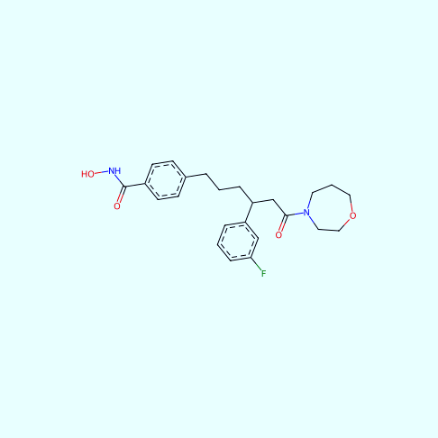 O=C(NO)c1ccc(CCCC(CC(=O)N2CCCOCC2)c2cccc(F)c2)cc1